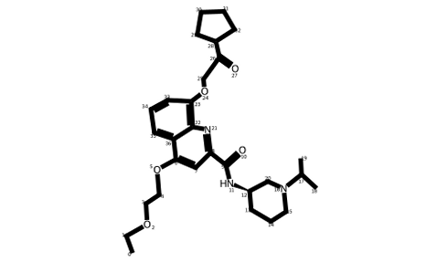 CCOCCOc1cc(C(=O)N[C@@H]2CCCN(C(C)C)C2)nc2c(OCC(=O)C3CCCC3)cccc12